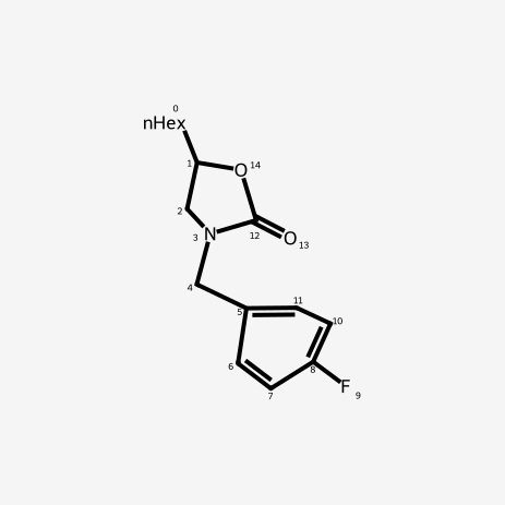 CCCCCCC1CN(Cc2ccc(F)cc2)C(=O)O1